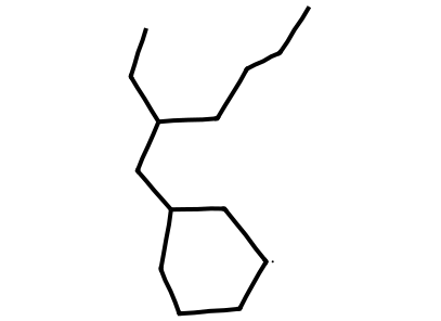 CCCCC(CC)CC1C[CH]CCC1